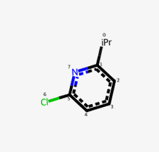 CC(C)c1cc[c]c(Cl)n1